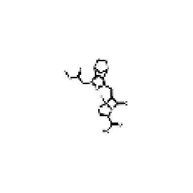 COC(=O)Cn1nc(/C=C2/C(=O)N3C(C(=O)O)=CS[C@H]23)c2c1C1CCC2C1